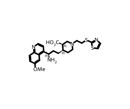 COc1ccc2nccc([C@H](N)CC[C@@H]3CCN(CCSc4nccs4)C[C@@H]3C(=O)O)c2c1